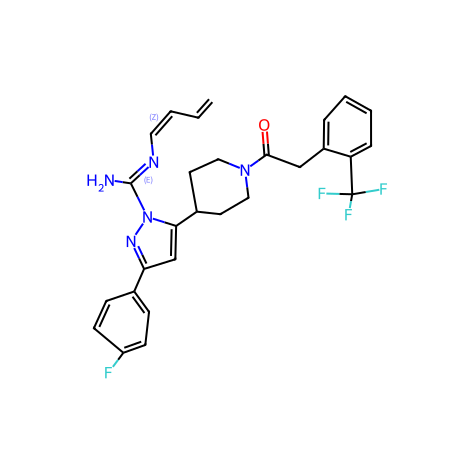 C=C/C=C\N=C(/N)n1nc(-c2ccc(F)cc2)cc1C1CCN(C(=O)Cc2ccccc2C(F)(F)F)CC1